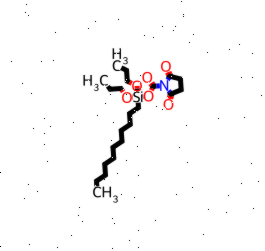 CCCCCCCCCCC[Si](OCCC)(OCCC)OC(=O)N1C(=O)CCC1=O